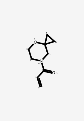 C=CC(=O)N1CCOC2(CC2)C1